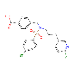 O=C(O)c1ccc(CN(CCCc2ccc(Cl)nc2)S(=O)(=O)c2ccc(Cl)cc2)cc1